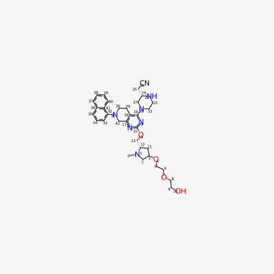 CN1C[C@H](OCCOCCO)C[C@H]1COc1nc2c(c(N3CCN[C@@H](CC#N)C3)n1)CCN(c1cccc3ccccc13)C2